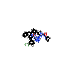 O=C(NC1CC=CC1)N1CCC(c2cccc(C(Cc3ccccc3)c3ccc(-c4cc(Cl)ccc4-n4cnnn4)c[n+]3[O-])c2)CC1